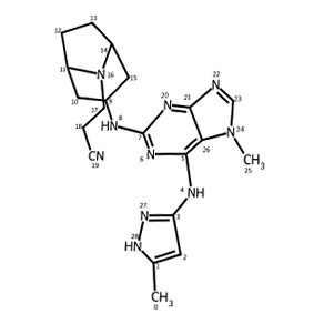 Cc1cc(Nc2nc(NC3CC4CCC(C3)N4CCC#N)nc3ncn(C)c23)n[nH]1